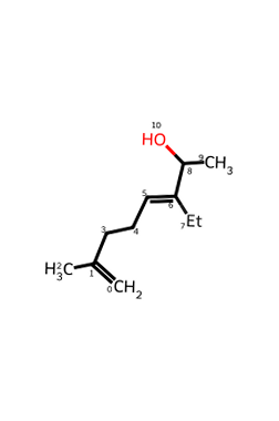 C=C(C)CC/C=C(\CC)C(C)O